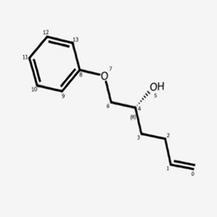 C=CCC[C@@H](O)COc1ccccc1